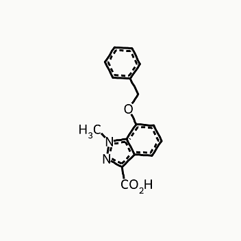 Cn1nc(C(=O)O)c2cccc(OCc3ccccc3)c21